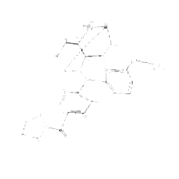 COc1cccc(C(c2ccc(C(=O)N3CCCC3)cc2)N2C3CCC4NC3CCC42)c1